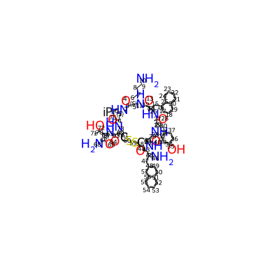 CC(C)[C@@H]1NC(=O)[C@H](CCCCN)NC(=O)[C@@H](Cc2cccc3ccccc23)NC(=O)[C@H](Cc2ccc(O)cc2)NC(=O)[C@@H](NC(=O)[C@H](N)Cc2ccc3ccccc3c2)CSSC[C@@H](C(=O)N[C@H](C(N)=O)C(C)O)NC1=O